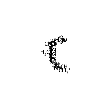 Cc1c(Oc2ccc(C[C@H]3CO[S@@](=O)OC3)cc2Cl)ncnc1OC1CCN(c2nc(C(C)C)no2)CC1